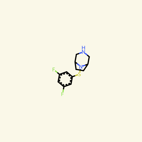 Fc1cc(F)cc(SN2C3CCC2CNC3)c1